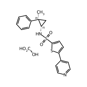 C[C@]1(c2ccccc2)C[C@@H]1NS(=O)(=O)c1ccc(-c2ccncc2)s1.O=C(O)O